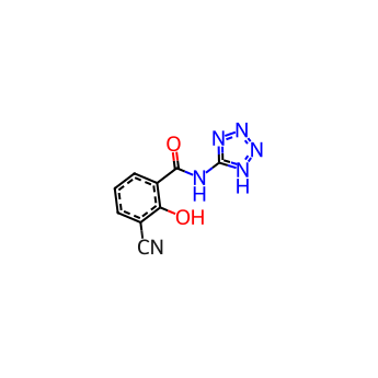 N#Cc1cccc(C(=O)Nc2nnn[nH]2)c1O